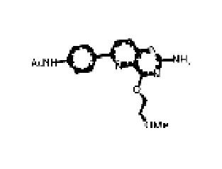 COCCOc1nc(N)nc2ccc(-c3ccc(NC(C)=O)cc3)nc12